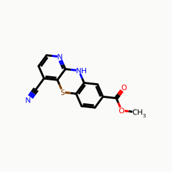 COC(=O)c1ccc2c(c1)Nc1nccc(C#N)c1S2